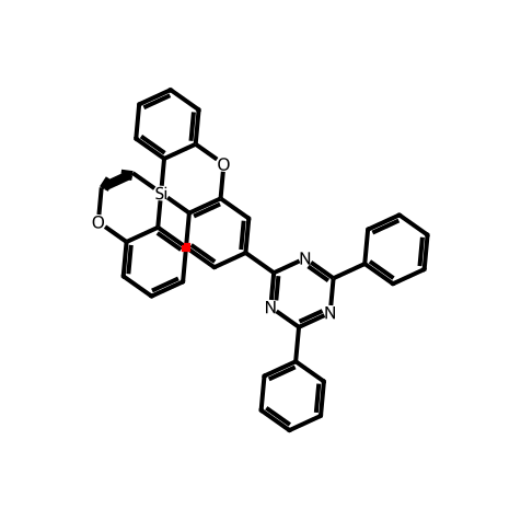 c1ccc(-c2nc(-c3ccccc3)nc(-c3ccc4c(c3)Oc3ccccc3[Si]43c4ccccc4Oc4ccccc43)n2)cc1